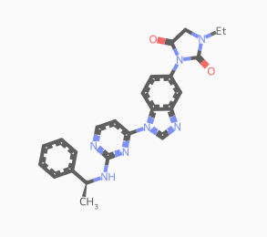 CCN1CC(=O)N(c2ccc3c(c2)ncn3-c2ccnc(N[C@@H](C)c3ccccc3)n2)C1=O